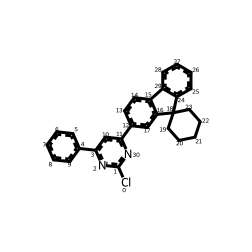 Clc1nc(-c2ccccc2)cc(-c2ccc3c(c2)C2(CCCCC2)c2ccccc2-3)n1